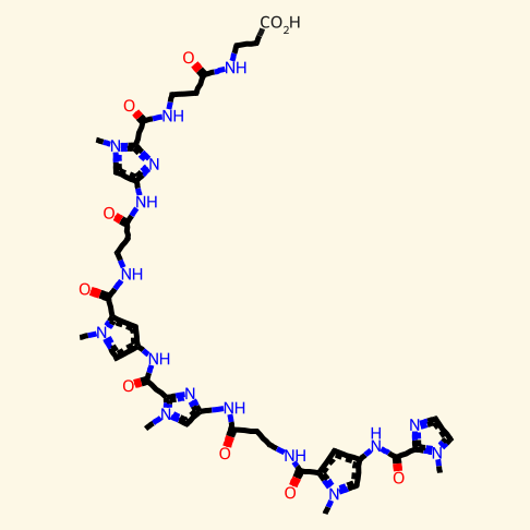 Cn1cc(NC(=O)c2nc(NC(=O)CCNC(=O)c3cc(NC(=O)c4nccn4C)cn3C)cn2C)cc1C(=O)NCCC(=O)Nc1cn(C)c(C(=O)NCCC(=O)NCCC(=O)O)n1